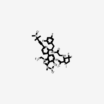 C[C@H]1CC(F)(F)C(NCC(=O)NC(Cc2cc(F)cc(F)c2)c2nc(C#CC(C)(C)[S+](C)[O-])ccc2-c2ccc(Cl)c3c(N(C)[S+](C)[O-])nn(CC(F)(F)F)c23)=C1C(=N)C(F)(F)F